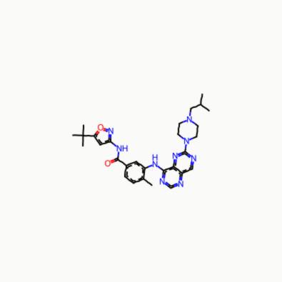 Cc1ccc(C(=O)Nc2cc(C(C)(C)C)on2)cc1Nc1ncnc2cnc(N3CCN(CC(C)C)CC3)nc12